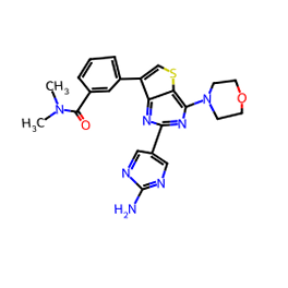 CN(C)C(=O)c1cccc(-c2csc3c(N4CCOCC4)nc(-c4cnc(N)nc4)nc23)c1